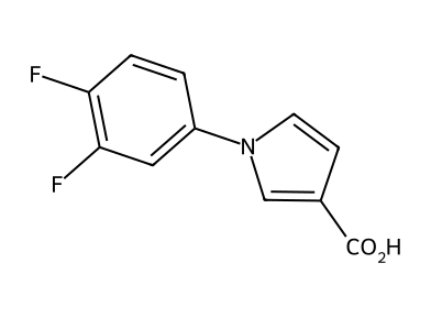 O=C(O)c1ccn(-c2ccc(F)c(F)c2)c1